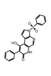 O=c1[nH]c2cnc3c(ccn3S(=O)(=O)c3ccccc3)c2c(O)c1-c1ccccc1